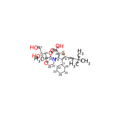 CC(C)(C)C#Cc1cc(N2C(=O)[C@](C)(CC(O)CO)OC[C@H]2C2CCCCC2)c(C(=O)O)s1